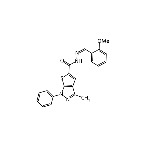 COc1ccccc1/C=N\NC(=O)c1cc2c(C)nn(-c3ccccc3)c2s1